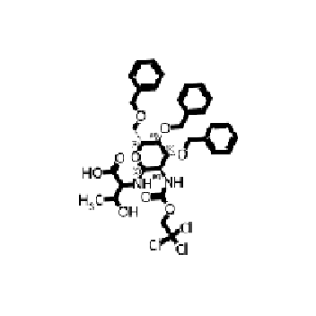 CC(O)C(N[C@H]1O[C@H](COCc2ccccc2)[C@H](OCc2ccccc2)[C@H](OCc2ccccc2)[C@H]1NC(=O)OCC(Cl)(Cl)Cl)C(=O)O